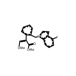 COC=C(C(=O)OC)c1ccccc1Cn1ccc2c(F)cccc21